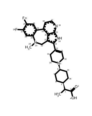 CC(C(=O)O)[C@H]1CC[C@@H](N2CC=C(c3[nH]c4nccc5c4c3CN(C)c3cc(F)c(F)cc3-5)CC2)CC1